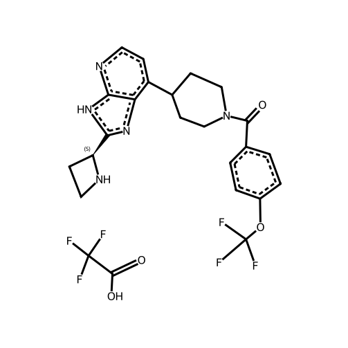 O=C(O)C(F)(F)F.O=C(c1ccc(OC(F)(F)F)cc1)N1CCC(c2ccnc3[nH]c([C@@H]4CCN4)nc23)CC1